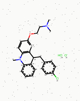 CN(C)CCOC1=[C+]C2=C(C=C1)N(C)c1ccccc1C2Cc1ccc(Cl)cc1.Cl.[Cl-]